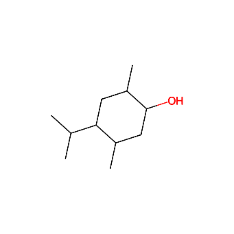 CC(C)C1CC(C)C(O)CC1C